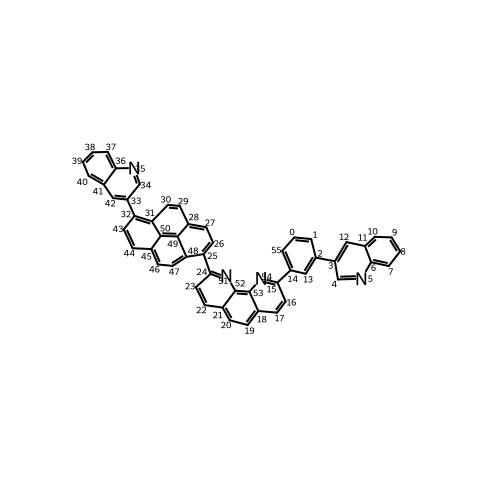 c1cc(-c2cnc3ccccc3c2)cc(-c2ccc3ccc4ccc(-c5ccc6ccc7c(-c8cnc9ccccc9c8)ccc8ccc5c6c87)nc4c3n2)c1